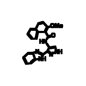 COc1ccc2ccccc2c1C(=O)Nc1c[nH]nc1-c1nc2ccccc2[nH]1